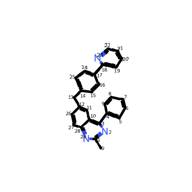 Cc1nc(-c2ccccc2)c2cc(Cc3ccc(-c4ccccn4)cc3)ccc2n1